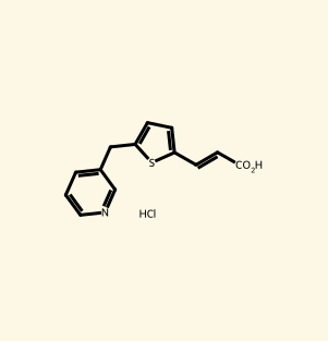 Cl.O=C(O)/C=C/c1ccc(Cc2cccnc2)s1